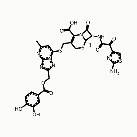 Cc1cc(SCC2=C(C(=O)O)N3C(=O)[C@@H](NC(=O)C(=O)c4csc(N)n4)[C@H]3SC2)n2nc(COC(=O)c3ccc(O)c(O)c3)nc2n1